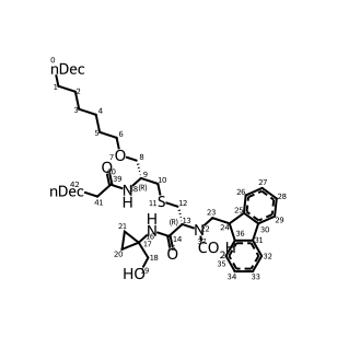 CCCCCCCCCCCCCCCCOC[C@H](CSC[C@@H](C(=O)NC1(CO)CC1)N(CC1c2ccccc2-c2ccccc21)C(=O)O)NC(=O)CCCCCCCCCCC